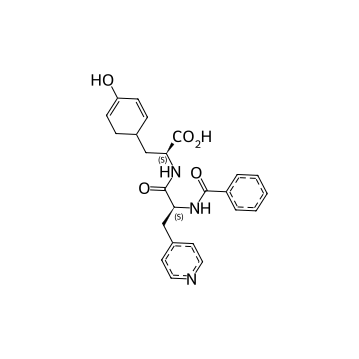 O=C(N[C@@H](Cc1ccncc1)C(=O)N[C@@H](CC1C=CC(O)=CC1)C(=O)O)c1ccccc1